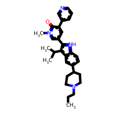 CCCN1CCC(c2ccc3[nH]c(-c4cc(-c5cccnc5)c(=O)n(C)c4)c(C(C)C)c3c2)CC1